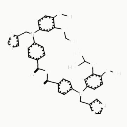 CCOc1cc(N(Cc2cnco2)c2ccc(C(=O)OC(=O)c3ccc(N(Cc4cnco4)c4ccc(OC)c(OC(C)C)c4)cc3)cc2)ccc1OC